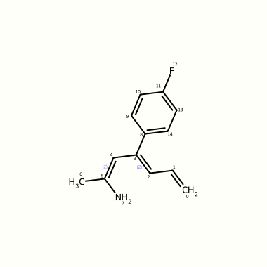 C=C/C=C(/C=C(/C)N)c1ccc(F)cc1